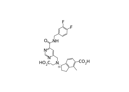 Cc1c(C(=O)O)ccc2c1CC[C@@H]2N(CC(=O)O)Cc1cc(C(=O)NCc2ccc(F)c(F)c2)ncn1